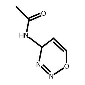 CC(=O)NC1C=CON=N1